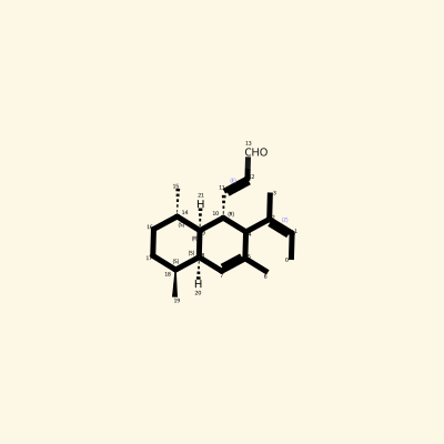 C/C=C(/C)C1C(C)=C[C@@H]2[C@H]([C@@H]1/C=C/C=O)[C@@H](C)CC[C@@H]2C